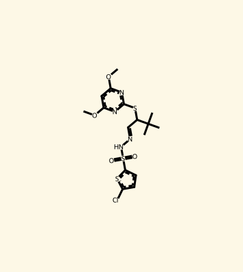 COc1cc(OC)nc(SC(C=NNS(=O)(=O)c2ccc(Cl)s2)C(C)(C)C)n1